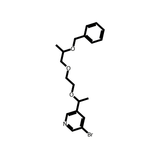 CC(COCCOC(C)c1cncc(Br)c1)OCc1ccccc1